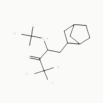 CC(C)(C)NC(CC1CC2CCC1C2)C(=O)C(C)(C)C